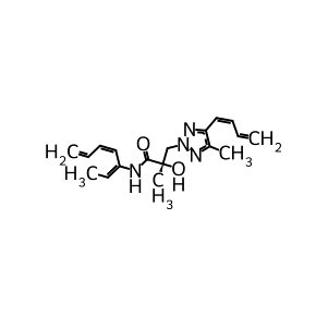 C=C/C=C\C(=C/C)NC(=O)[C@@](C)(O)Cn1nc(C)c(/C=C\C=C)n1